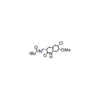 COc1cc2[nH]c(=O)c(/C=N/[S+]([O-])C(C)(C)C)cc2cc1Cl